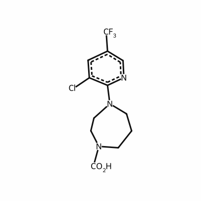 O=C(O)N1CCCN(c2ncc(C(F)(F)F)cc2Cl)CC1